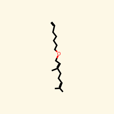 C=CCCCCCOC/C=C(\C)CCC=C(C)C